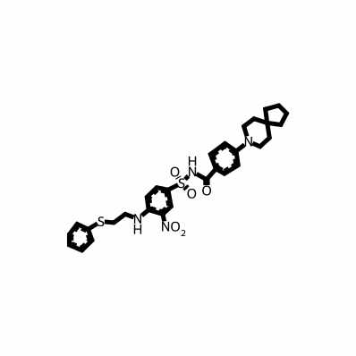 O=C(NS(=O)(=O)c1ccc(NCCSc2ccccc2)c([N+](=O)[O-])c1)c1ccc(N2CCC3(CCCC3)CC2)cc1